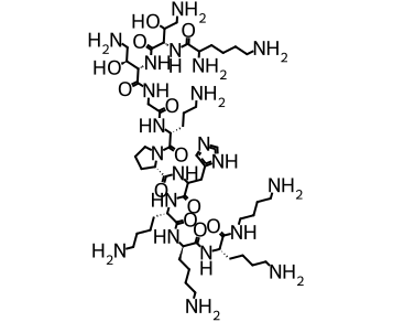 NCCCCNC(=O)[C@H](CCCCN)NC(=O)[C@@H](CCCCN)NC(=O)[C@H](CCCCN)NC(=O)C(Cc1cnc[nH]1)NC(=O)[C@@H]1CCCN1C(=O)[C@@H](CCCN)NC(=O)CNC(=O)[C@@H](NC(=O)[C@@H](NC(=O)C(N)CCCCN)C(O)CN)[C@@H](O)CN